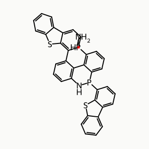 NPc1cccc2c1-c1c(cccc1-c1cccc3c1sc1ccccc13)NP2c1cccc2c1sc1ccccc12